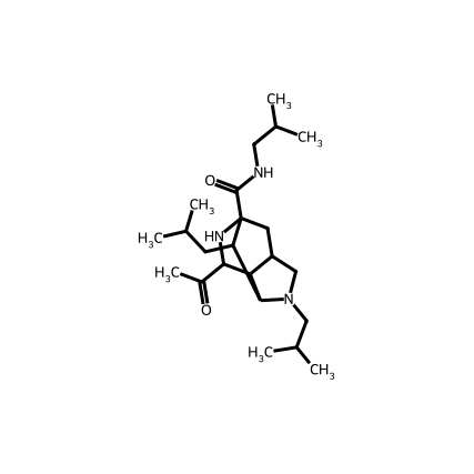 CC(=O)C1NC2(C(=O)NCC(C)C)CC3CN(CC(C)C)C(C31)C2CC(C)C